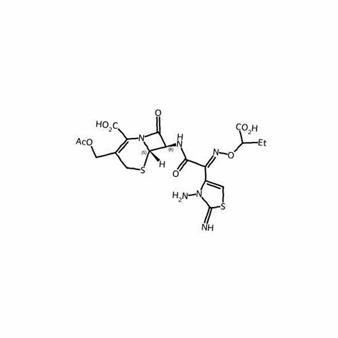 CCC(ON=C(C(=O)N[C@@H]1C(=O)N2C(C(=O)O)=C(COC(C)=O)CS[C@@H]12)c1csc(=N)n1N)C(=O)O